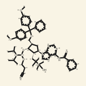 COc1ccc(C(OC[C@H]2C[C@@H](n3cnc4c(NC(=O)c5ccccc5)ncnc43)[C@H](CC(C)(C)[Si](C)(C)O)[C@@H]2OP(OCCC#N)N(C(C)C)C(C)C)(c2ccccc2)c2ccc(OC)cc2)cc1